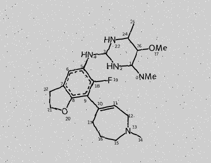 CNC1NC(Nc2cc3c(c(C4=CCN(C)CCC4)c2F)OCC3)NC(C)C1OC